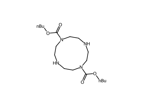 CCCCOC(=O)N1CCNCCN(C(=O)OCCCC)CCNCC1